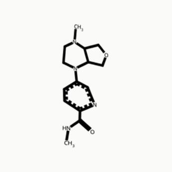 CNC(=O)c1ccc(N2CCN(C)C3COCC32)cn1